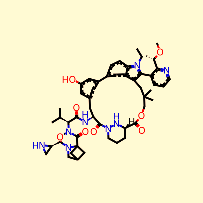 CCn1c(-c2cccnc2[C@H](C)OC)c2c3cc(ccc31)-c1cc(O)cc(c1)C[C@H](NC(=O)[C@H](C(C)C)N(C)C(=O)C13CC(CN1C(=O)[C@H]1CN1)C3)C(=O)N1CCC[C@H](N1)C(=O)OCC(C)(C)C2